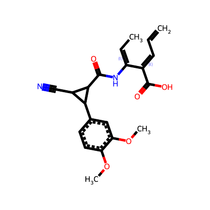 C=C/C=C(C(=O)O)\C(=C/C)NC(=O)C1C(C#N)C1c1ccc(OC)c(OC)c1